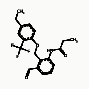 CCC(=O)Nc1cccc(C=O)c1COc1ccc(CC)cc1C(F)(F)F